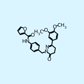 COc1ccc(C2=NN(Cc3ccc(NC(=O)c4ccco4)cc3)C(=O)CC2)cc1OC